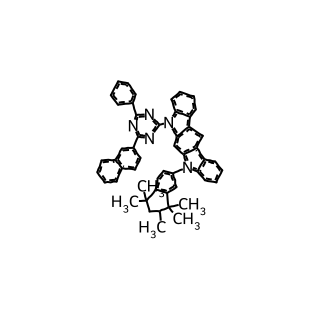 CC1CC(C)(C)c2ccc(-n3c4ccccc4c4cc5c6ccccc6n(-c6nc(-c7ccccc7)nc(-c7ccc8ccccc8c7)n6)c5cc43)cc2C1(C)C